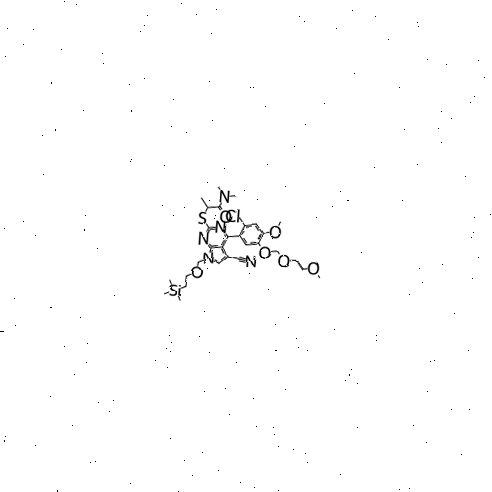 COCCOCOc1cc(-c2nc(SC(C)C(=O)N(C)C)nc3c2c(C#N)cn3COCC[Si](C)(C)C)c(Cl)cc1OC